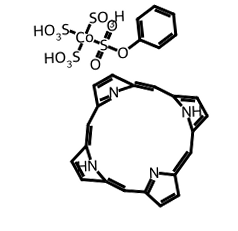 C1=Cc2cc3ccc(cc4nc(cc5ccc(cc1n2)[nH]5)C=C4)[nH]3.O=[S](=O)(O)[Co]([S](=O)(=O)O)([S](=O)(=O)O)[S](=O)(=O)Oc1ccccc1